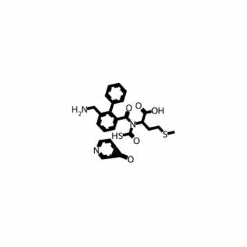 CSCCC(C(=O)O)N(C(=O)S)C(=O)c1cccc(CN)c1-c1ccccc1.O=c1c2ccncc12